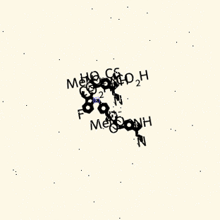 CC1=C(CC(=O)O)c2cc(F)ccc2/C1=C\c1ccc([S+](C)[O-])cc1.CNS(=O)(=O)Cc1ccc2[nH]cc(CCN(C)C)c2c1.CNS(=O)(=O)Cc1ccc2[nH]cc(CCN(C)C)c2c1.O=C(O)CCC(=O)O.[S]